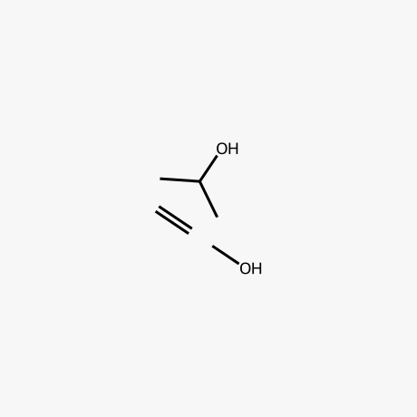 C=C.CC(C)O.CO